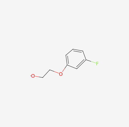 [O]CCOc1cccc(F)c1